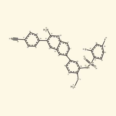 COc1ncc(-c2ccc3nc(N)c(-c4ccc(C#N)cc4)cc3c2)cc1NS(=O)(=O)c1ccc(F)cc1F